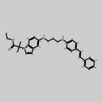 CCOC(=O)C(C)(C)n1ccc2cc(OCCCOc3ccc(C=Cc4ccccc4)cc3)ccc21